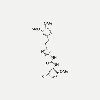 COc1ccc(Cl)cc1NC(=O)Nc1nnc(CCc2ccc(OC)c(OC)c2)s1